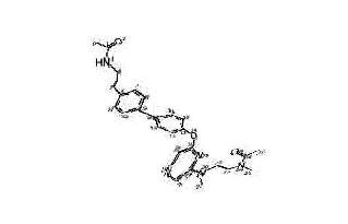 CC(=O)NCCc1ccc(-c2ccc(Oc3cncc(N(C)CCN(C)C(C)=O)n3)cc2)cc1